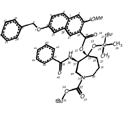 COc1cc2ccc(OCc3ccccc3)cc2cc1C(=O)O[C@@]1(O[Si](C)(C)C(C)(C)C)CCCN(C(=O)OC(C)(C)C)C[C@H]1NC(=O)c1ccccc1